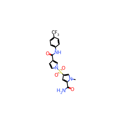 Cn1cc(S(=O)(=O)n2ccc(C(=O)Nc3ccc(C(F)(F)F)cc3)c2)cc1C(N)=O